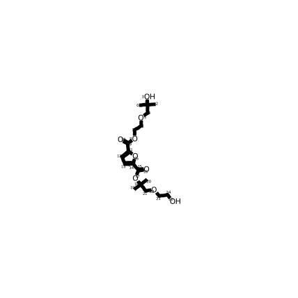 CC(C)(O)COCCOC(=O)c1ccc(C(=O)OC(C)(C)COCCO)o1